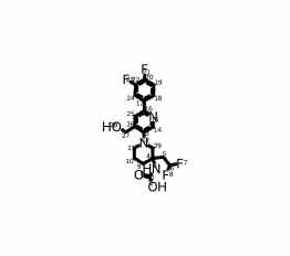 O=C(O)NC1(CC(F)F)CCCN(c2cnc(-c3ccc(F)c(F)c3)cc2CO)C1